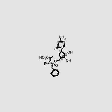 CC(C)N(C(C)C(=O)O)P(=O)(OC[C@H]1C[C@@H](n2cnc(N)nc2=O)[C@H](O)[C@@H]1O)Oc1ccccc1